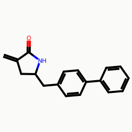 C=C1CC(Cc2ccc(-c3ccccc3)cc2)NC1=O